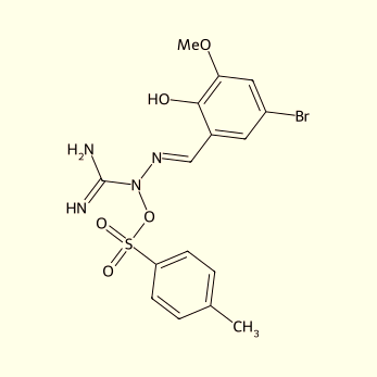 COc1cc(Br)cc(C=NN(OS(=O)(=O)c2ccc(C)cc2)C(=N)N)c1O